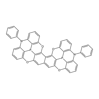 c1ccc(-n2c3cccc4oc5cc6cc7oc8cccc9c8p8c7c(oc7cccc(c78)n9-c7ccccc7)c6c6oc7cccc2c7p(c56)c43)cc1